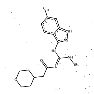 CC(C)(C)N/C(=N/C(=O)CC1CCOCC1)Nc1n[nH]c2cc(C(F)(F)F)ccc12